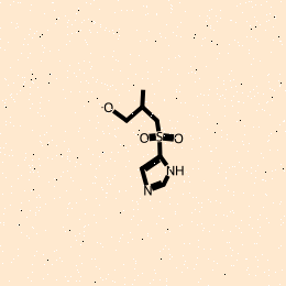 CC(C[O])CS(=O)(=O)c1cnc[nH]1